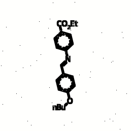 CCCCOc1ccc(/C=N/c2ccc(C(=O)OCC)cc2)cc1